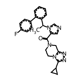 C[C@@H](c1ccccc1-c1ccc(F)cc1)n1cncc1C(=O)N1CCn2c(nnc2C2CC2)C1